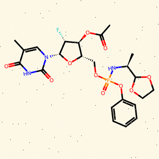 CC(=O)O[C@@H]1[C@@H](F)[C@@H](n2cc(C)c(=O)[nH]c2=O)O[C@H]1COP(=O)(N[C@@H](C)C1OCCO1)Oc1ccccc1